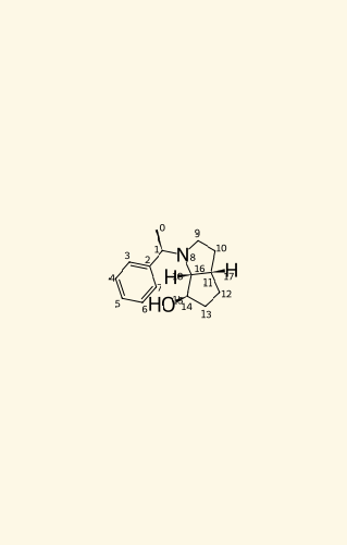 C[C@H](c1ccccc1)N1CC[C@@H]2CC[C@@H](O)[C@@H]21